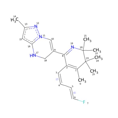 CC1=C(/C=C\C=C\F)C(C2=Cn3nc(C)cc3NC2)=NC(C)(C)C1(C)C